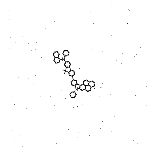 CC1(C)c2cc(-c3ccc4c(c3)c3c5ccc6cccc7ccc(cc3n4-c3ccccc3)c5c76)ccc2-c2ccc(N(c3ccccc3)c3cccc4ccccc34)cc21